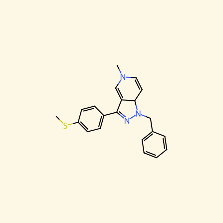 CSc1ccc(C2=NN(Cc3ccccc3)C3C=CN(C)C=C23)cc1